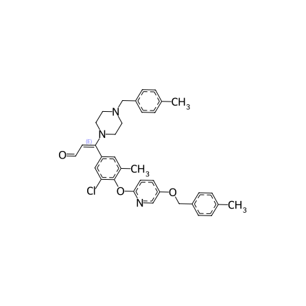 Cc1ccc(COc2ccc(Oc3c(C)cc(/C(=C\C=O)N4CCN(Cc5ccc(C)cc5)CC4)cc3Cl)nc2)cc1